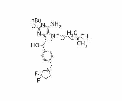 CCCCOc1nc(N)c2c(n1)c(C(O)c1ccc(CN3CCC(F)(F)C3)cc1)cn2COCC[Si](C)(C)C